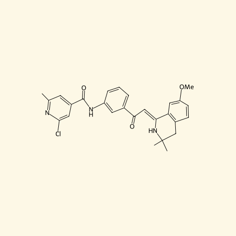 COc1ccc2c(c1)/C(=C/C(=O)c1cccc(NC(=O)c3cc(C)nc(Cl)c3)c1)NC(C)(C)C2